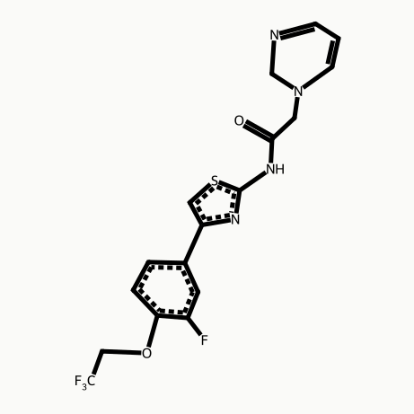 O=C(CN1C=CC=NC1)Nc1nc(-c2ccc(OCC(F)(F)F)c(F)c2)cs1